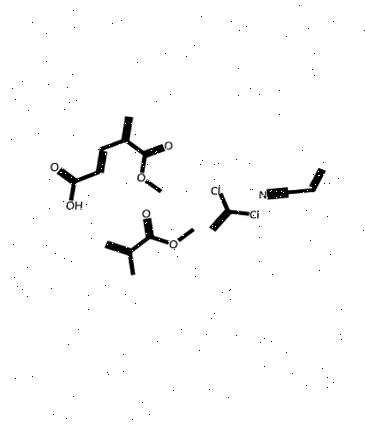 C=C(C)C(=O)OC.C=C(C=CC(=O)O)C(=O)OC.C=C(Cl)Cl.C=CC#N